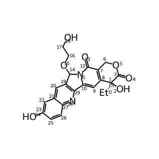 CC[C@@]1(O)C(=O)OCc2c1cc1n(c2=O)C(OCCO)c2cc3cc(O)ccc3nc2-1